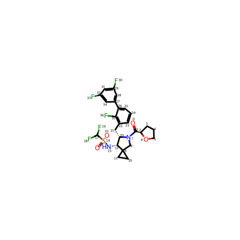 O=C([C@H]1CCCO1)N1CC2(CC2)[C@H](NS(=O)(=O)C(F)F)[C@@H]1Cc1cccc(-c2cc(F)cc(F)c2)c1F